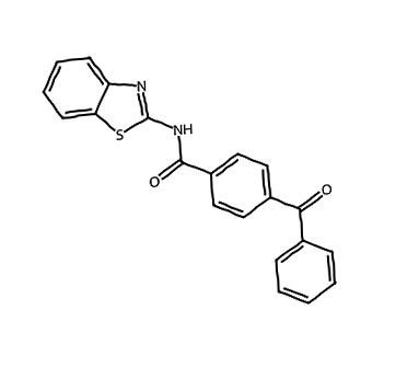 O=C(Nc1nc2ccccc2s1)c1ccc(C(=O)c2ccccc2)cc1